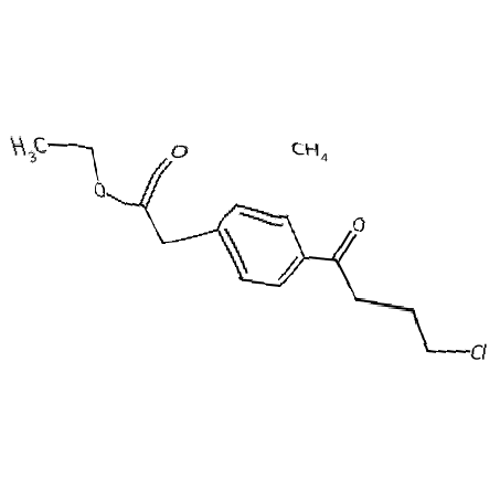 C.CCOC(=O)Cc1ccc(C(=O)CCCCl)cc1